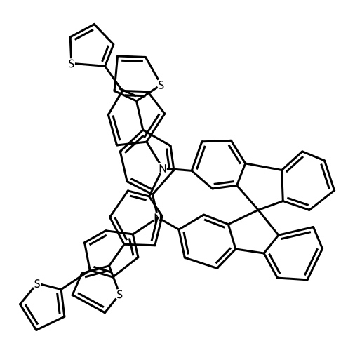 c1csc(-c2ccc(N(c3ccc(-c4cccs4)cc3)c3ccc4c(c3)C3(c5ccccc5-4)c4ccccc4-c4ccc(N(c5ccc(-c6cccs6)cc5)c5ccc(-c6cccs6)cc5)cc43)cc2)c1